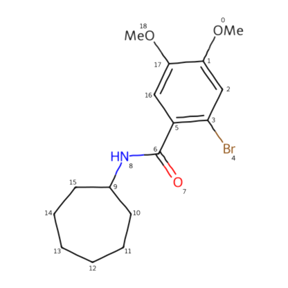 COc1cc(Br)c(C(=O)NC2CCCCCC2)cc1OC